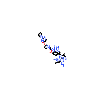 Cc1cnc(Nc2cc(C)n(C)n2)nc1-c1c[nH]c2c(NC(=O)CN3CC[C@H](Oc4ccnc(N5CCCCC5)n4)C3)cccc12